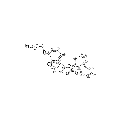 O=C(O)COc1cccc2c1OC1CCC(OS(=O)(=O)c3cccc4ccccc34)C21